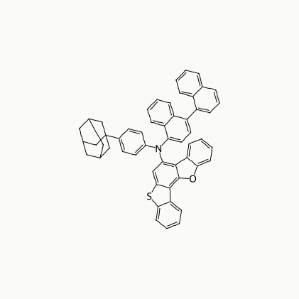 c1ccc2c(-c3ccc(N(c4ccc(C56CC7CC(CC(C7)C5)C6)cc4)c4cc5sc6ccccc6c5c5oc6ccccc6c45)c4ccccc34)cccc2c1